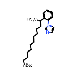 CCCCCCCCCCCCCCCCCCCCC(C(=O)O)c1ccccc1-n1ccnc1